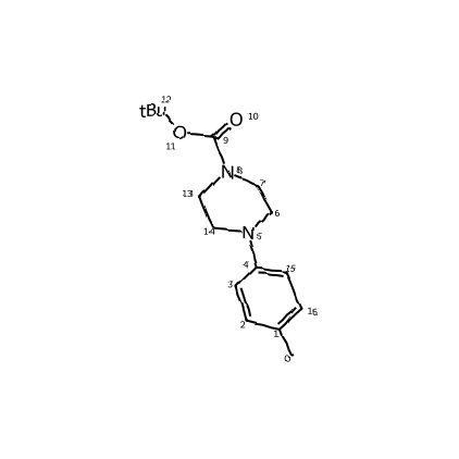 Cc1ccc(N2CCN(C(=O)OC(C)(C)C)CC2)cc1